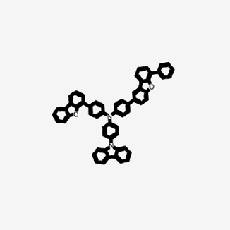 c1ccc(-c2cccc3c2oc2ccc(-c4ccc(N(c5ccc(-c6cccc7c6oc6ccccc67)cc5)c5ccc(-n6c7ccccc7c7ccccc76)cc5)cc4)cc23)cc1